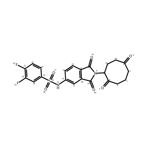 O=C1CCCC(=O)C(N2C(=O)c3ccc(NS(=O)(=O)c4ccc(F)c(F)c4)cc3C2=O)CC1